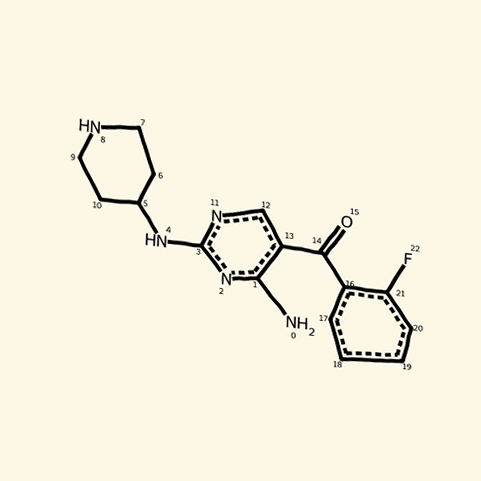 Nc1nc(NC2CCNCC2)ncc1C(=O)c1ccccc1F